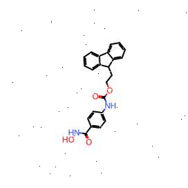 O=C(Nc1ccc(C(=O)NO)cc1)OCCC1c2ccccc2-c2ccccc21